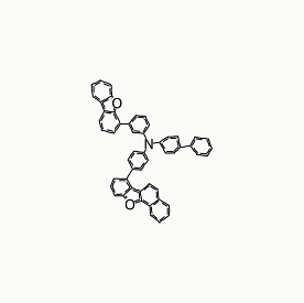 c1ccc(-c2ccc(N(c3ccc(-c4cccc5oc6c7ccccc7ccc6c45)cc3)c3cccc(-c4cccc5c4oc4ccccc45)c3)cc2)cc1